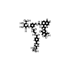 CC[C@@]1(O)C(=O)OCc2c1cc1n(c2=O)Cc2c-1nc1cc(F)c(C)c3c1c2[C@@H](NC(=O)OCc1ccc(O[C@@H]2O[C@H](C(=O)O)[C@@H](O)[C@H](O)[C@H]2O)c(NC(=O)CCNC(=O)c2ccc(-c4nnc(CP(=O)(O)O)nn4)cc2)c1)CC3